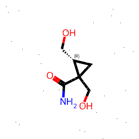 NC(=O)C1(CO)C[C@H]1CO